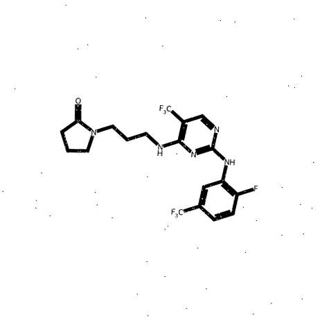 O=C1CCCN1CCCNc1nc(Nc2cc(C(F)(F)F)ccc2F)ncc1C(F)(F)F